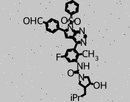 Cc1c(NC(=O)N2CC(O)C(CC(C)C)C2)cc(F)cc1-c1ncnc2c1cc(-c1ccc(C=O)cc1)n2S(=O)(=O)c1ccccc1